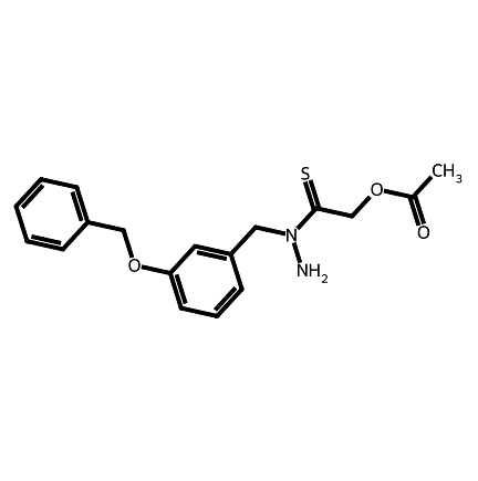 CC(=O)OCC(=S)N(N)Cc1cccc(OCc2ccccc2)c1